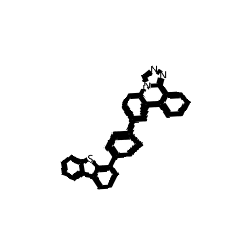 c1ccc2c(c1)sc1c(-c3ccc(-c4ccc5c(c4)c4ccccc4c4nncn54)cc3)cccc12